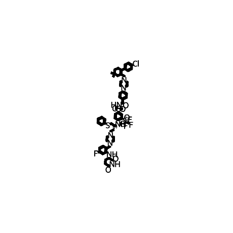 CC1(C)CCC(c2ccc(Cl)cc2)=C(CN2CCN(c3ccc(C(=O)NS(=O)(=O)c4ccc(N[C@H](CCN5CCN(Cc6ccc(F)cc6NC6CCC(=O)NC6=O)CC5)CSc5ccccc5)c(S(=O)(=O)C(F)(F)F)c4)cc3)CC2)C1